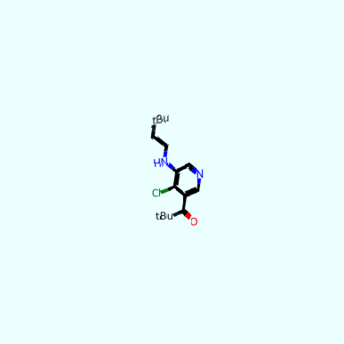 CC(C)(C)CCNc1cncc(C(=O)C(C)(C)C)c1Cl